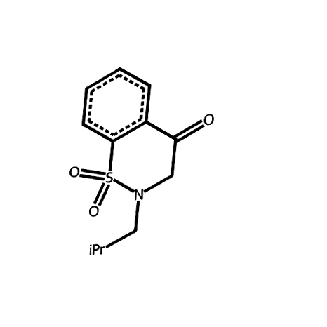 CC(C)CN1CC(=O)c2ccccc2S1(=O)=O